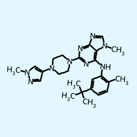 Cc1ccc(C(C)(C)C)cc1Nc1nc(N2CCN(c3cnn(C)c3)CC2)nc2ncn(C)c12